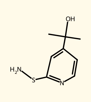 CC(C)(O)c1ccnc(SN)c1